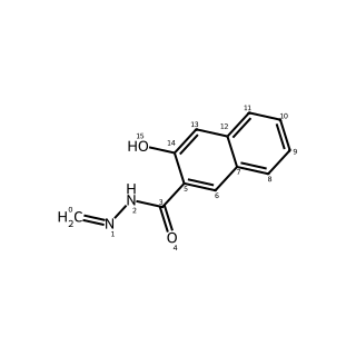 C=NNC(=O)c1cc2ccccc2cc1O